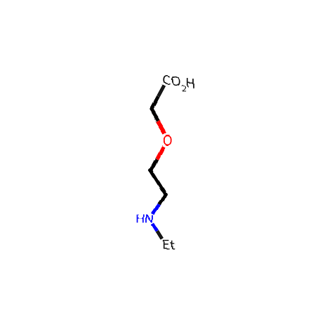 CCNCCOCC(=O)O